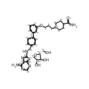 NC(=O)C1CCN(CCCOc2cccc(-c3ccc(CNc4nc5c(N)ncnc5n4[C@@H]4O[C@H](CO)[C@@H](O)[C@H]4O)cc3)c2)CC1